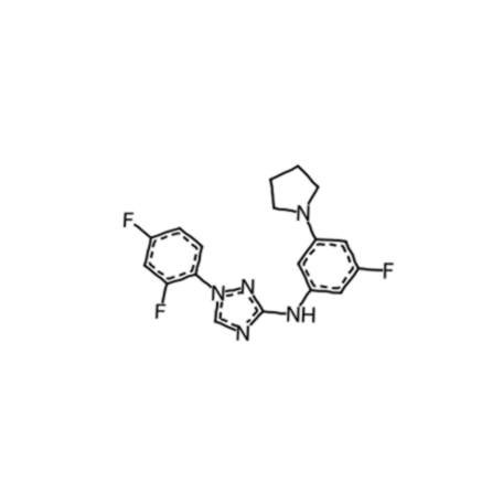 Fc1cc(Nc2ncn(-c3ccc(F)cc3F)n2)cc(N2CCCC2)c1